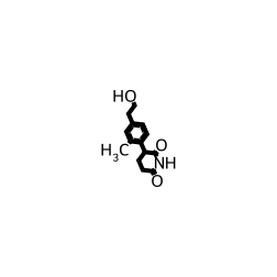 Cc1cc(CCO)ccc1C1CCC(=O)NC1=O